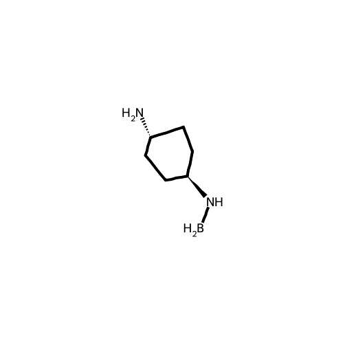 BN[C@H]1CC[C@H](N)CC1